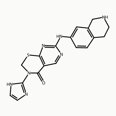 O=C1c2cnc(Nc3ccc4c(c3)CNCC4)nc2SCN1c1ncc[nH]1